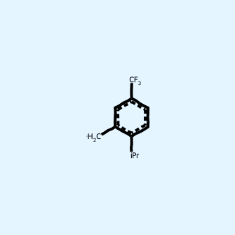 [CH2]c1cc(C(F)(F)F)ccc1C(C)C